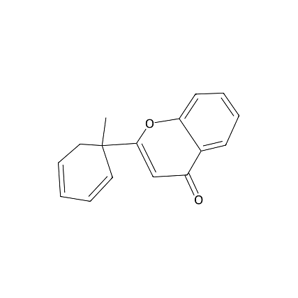 CC1(c2cc(=O)c3ccccc3o2)C=CC=CC1